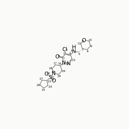 O=c1c(Cl)c(NC[C@H]2CCCOC2)cnn1C1CCN(S(=O)(=O)C2CCCC2)CC1